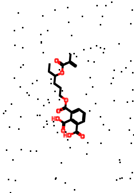 C=C(C)C(=O)OC(CC)CCCOC(=O)c1cccc(C(=O)O)c1C(=O)O